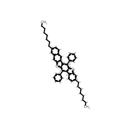 CCCCCCCCc1ccc2cc3c(cc2c1)oc1c(-c2ccccc2)c2c(oc4cc(CCCCCCCC)ccc42)c(-c2ccccc2)c13